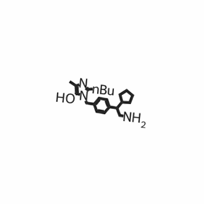 CCCCc1nc(C)c(O)n1Cc1ccc(C(CN)C2CCCC2)cc1